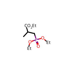 CCOC(=O)C(C)CP(=O)(OCC)OCC